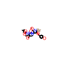 COC(=O)c1nc(Br)c(OCc2ccc(OC)cc2)cc1N1CCC2(CC1)COC(C)C2NC(=O)OC(C)(C)C